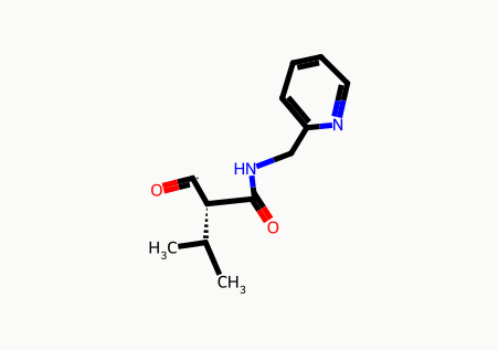 CC(C)[C@H]([C]=O)C(=O)NCc1ccccn1